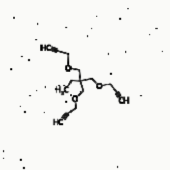 C#CCOCC(CC)(COCC#C)COCC#C